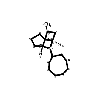 C[C@H]1C[C@H]2N(C3CCCCCCC3)[C@@H]3CCCC132